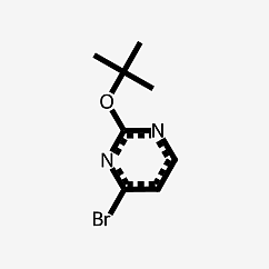 CC(C)(C)Oc1nccc(Br)n1